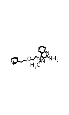 Cc1nc2c(N)nc3ccccc3c2n1CCOCCCc1cccnc1